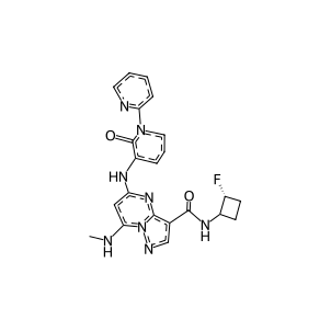 CNc1cc(Nc2cccn(-c3ccccn3)c2=O)nc2c(C(=O)NC3CC[C@H]3F)cnn12